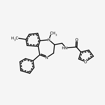 Cc1ccc2c(c1)C(c1ccccc1)=NCC(CNC(=O)c1ccoc1)N2C